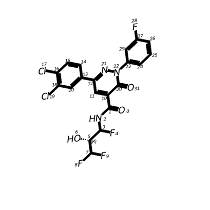 O=C(NC(F)[C@@H](O)C(F)F)c1cc(-c2ccc(Cl)c(Cl)c2)nn(-c2cccc(F)c2)c1=O